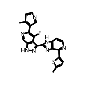 Cc1ccc(-c2nccc3[nH]c(-c4n[nH]c5cnc(-c6cnccc6C)c(F)c45)nc23)s1